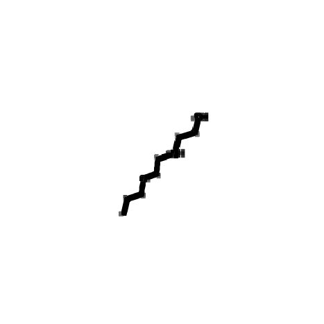 CCCOCCNCCO